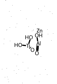 [O]=[Al][OH].[O]=[Ti]([OH])[OH].[Zn]